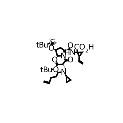 C=CCCCN(C[C@H](C(=O)OC(C)(C)C)C(=O)N1C[C@H](O[Si](C)(C)C(C)(C)C)C[C@H]1C(=O)NC1(C(=O)O)CC1C=C)C1CC1